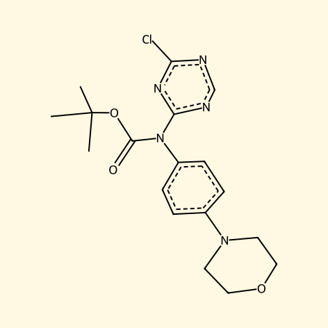 CC(C)(C)OC(=O)N(c1ccc(N2CCOCC2)cc1)c1ncnc(Cl)n1